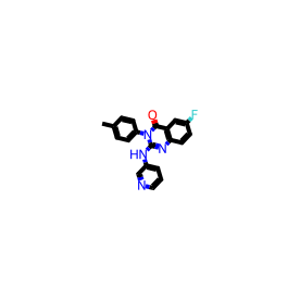 Cc1ccc(-n2c(Nc3cccnc3)nc3ccc(F)cc3c2=O)cc1